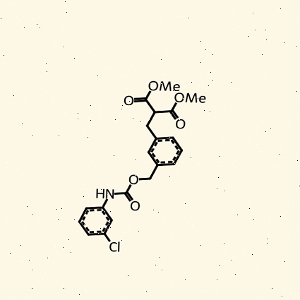 COC(=O)C(Cc1cccc(COC(=O)Nc2cccc(Cl)c2)c1)C(=O)OC